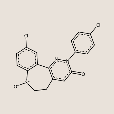 O=c1cc2c(nn1-c1ccc(Cl)cc1)-c1cc(Cl)ccc1[S+]([O-])CC2